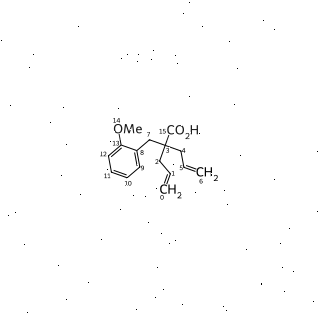 C=CCC(CC=C)(Cc1ccccc1OC)C(=O)O